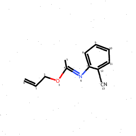 C=CCO/C(C)=N/c1ccccc1C#N